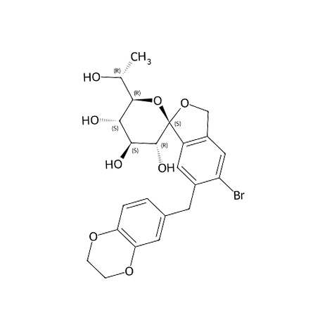 C[C@@H](O)[C@H]1O[C@]2(OCc3cc(Br)c(Cc4ccc5c(c4)OCCO5)cc32)[C@H](O)[C@@H](O)[C@@H]1O